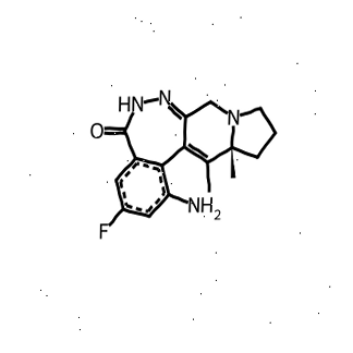 CC1=C2C(=NNC(=O)c3cc(F)cc(N)c32)CN2CCC[C@]12C